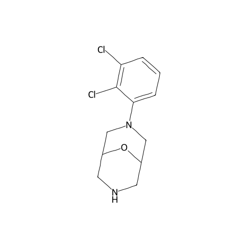 Clc1cccc(N2CC3CNCC(C2)O3)c1Cl